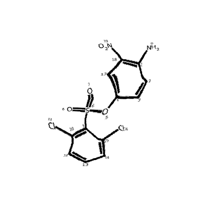 Nc1ccc(OS(=O)(=O)c2c(Cl)cccc2Cl)cc1[N+](=O)[O-]